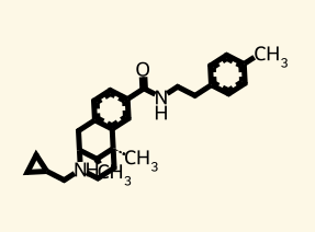 Cc1ccc(CCNC(=O)c2ccc3c(c2)[C@@]2(C)CCN(CC4CC4)C(C3)[C@@H]2C)cc1